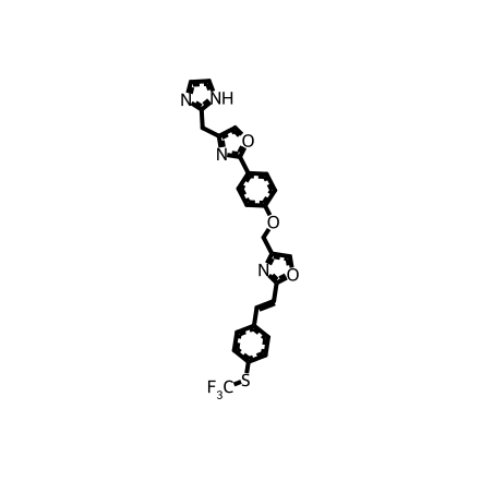 FC(F)(F)Sc1ccc(C=Cc2nc(COc3ccc(-c4nc(Cc5ncc[nH]5)co4)cc3)co2)cc1